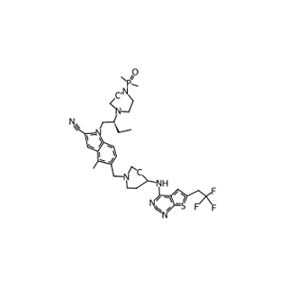 CC[C@@H](Cn1c(C#N)cc2c(C)c(CN3CCC(Nc4ncnc5sc(CC(F)(F)F)cc45)CC3)ccc21)N1CCN(P(C)(C)=O)CC1